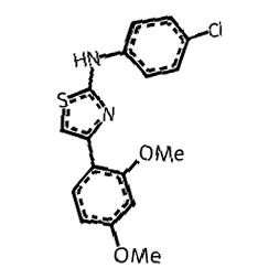 COc1ccc(-c2csc(Nc3ccc(Cl)cc3)n2)c(OC)c1